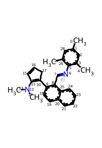 Cc1cc(C)c(/N=C/c2c(C3=C(N(C)C)C=CC3)ccc3ccccc23)c(C)c1